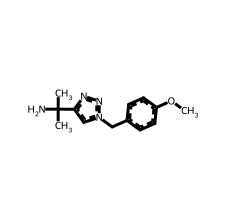 COc1ccc(Cn2cc(C(C)(C)N)nn2)cc1